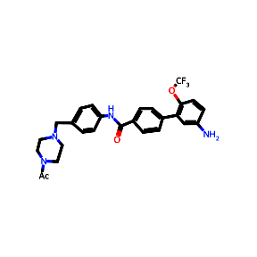 CC(=O)N1CCN(Cc2ccc(NC(=O)c3ccc(-c4cc(N)ccc4OC(F)(F)F)cc3)cc2)CC1